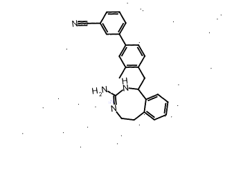 Cc1cc(-c2cccc(C#N)c2)ccc1CC1N/C(N)=N\CCc2ccccc21